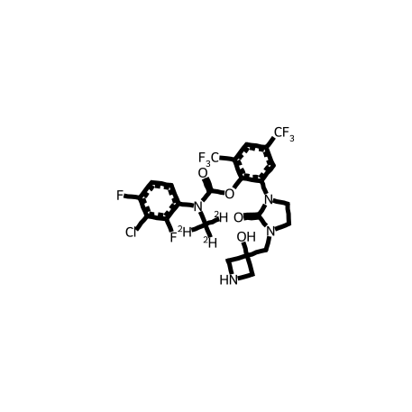 [2H]C([2H])([2H])N(C(=O)Oc1c(N2CCN(CC3(O)CNC3)C2=O)cc(C(F)(F)F)cc1C(F)(F)F)c1ccc(F)c(Cl)c1F